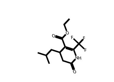 CCOC(=O)C1=C(C(F)(F)F)NC(=O)CC1CC(C)C